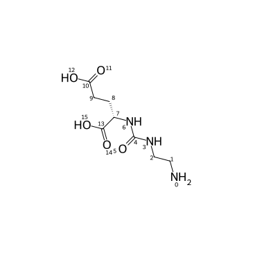 NCCNC(=O)N[C@@H](CCC(=O)O)C(=O)O